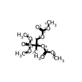 COC(=O)OCC(C)(OC(=O)OC)P(=O)(OC)OC